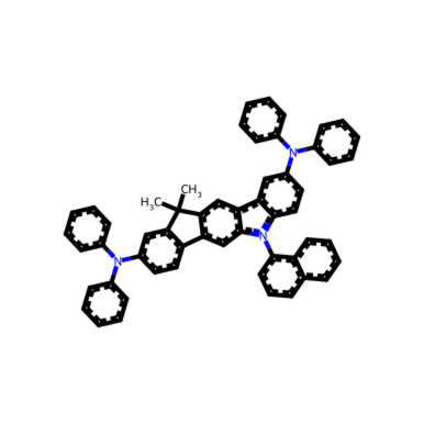 CC1(C)c2cc(N(c3ccccc3)c3ccccc3)ccc2-c2cc3c(cc21)c1cc(N(c2ccccc2)c2ccccc2)ccc1n3-c1cccc2ccccc12